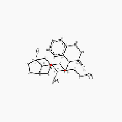 CCCCCC1CC2CC[C@@H](C1)N2C[C@@H](C)CN1C(=O)CSc2ccccc21